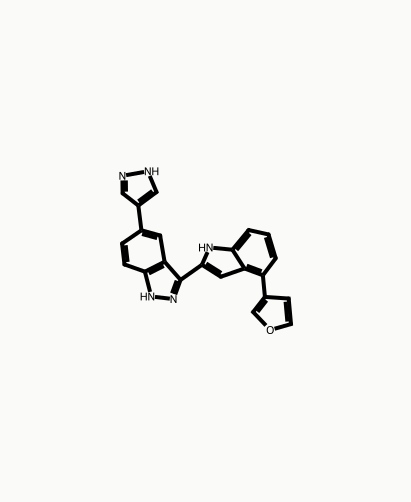 c1cc(-c2ccoc2)c2cc(-c3n[nH]c4ccc(-c5cn[nH]c5)cc34)[nH]c2c1